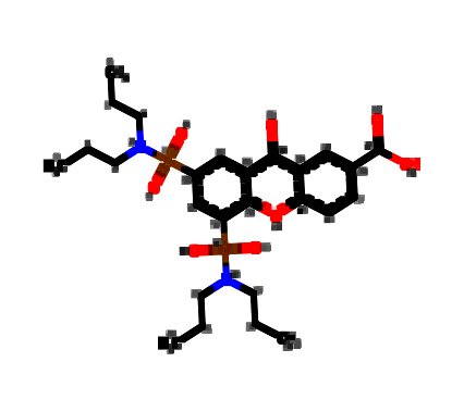 CCCN(CCC)S(=O)(=O)c1cc(S(=O)(=O)N(CCC)CCC)c2oc3ccc(C(=O)O)cc3c(=O)c2c1